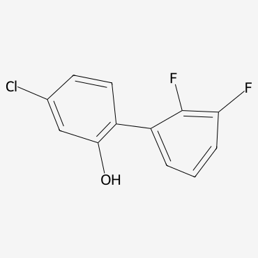 Oc1cc(Cl)ccc1-c1cccc(F)c1F